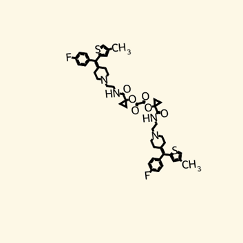 Cc1csc(C(=C2CCN(CCNC(=O)C3(OC(=O)C(=O)OC4(C(=O)NCCN5CCC(=C(c6ccc(F)cc6)c6cc(C)cs6)CC5)CC4)CC3)CC2)c2ccc(F)cc2)c1